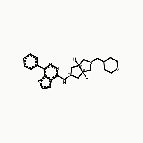 c1ccc(-c2nnc(N[C@H]3C[C@@H]4CN(CC5CCOCC5)C[C@@H]4C3)c3ccsc23)cc1